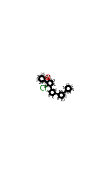 Clc1c(-c2cccc(-c3cccc(-c4ccccc4)c3)c2)ccc2oc3ccccc3c12